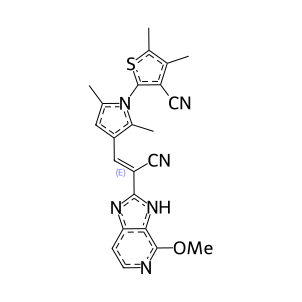 COc1nccc2nc(/C(C#N)=C/c3cc(C)n(-c4sc(C)c(C)c4C#N)c3C)[nH]c12